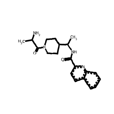 CC(N)C(=O)N1CCC(C(C)NC(=O)c2ccc3ccccc3n2)CC1